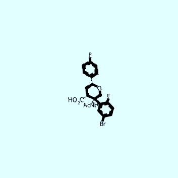 CC(=O)N[C@@]1(c2cc(Br)ccc2F)CO[C@@H](c2ccc(F)cc2)C[C@H]1C(=O)O